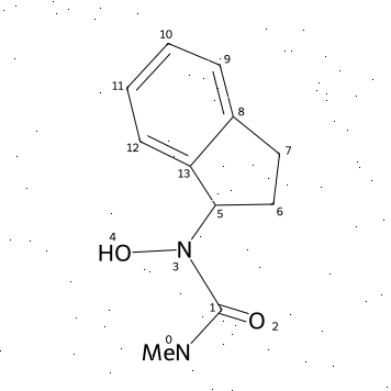 CNC(=O)N(O)C1CCc2ccccc21